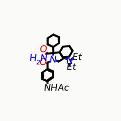 CCN(CC)CCN(C(=O)c1ccc(NC(C)=O)cc1)C(C(N)=O)(C1CCCCC1)C1CCCCC1